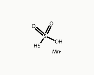 O=S(=O)(O)S.[Mn]